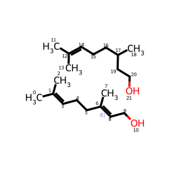 CC(C)=CCC/C(C)=C/CO.CC(C)=CCCC(C)CCO